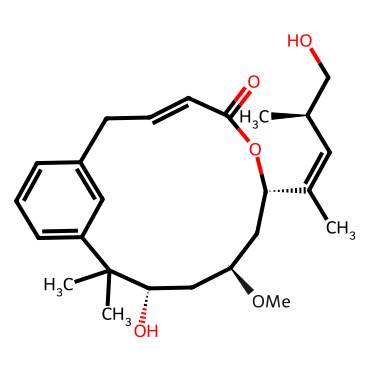 CO[C@@H]1C[C@@H](/C(C)=C\[C@@H](C)CO)OC(=O)/C=C/Cc2cccc(c2)C(C)(C)[C@@H](O)C1